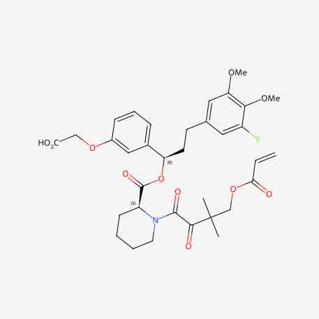 C=CC(=O)OCC(C)(C)C(=O)C(=O)N1CCCC[C@H]1C(=O)O[C@H](CCc1cc(F)c(OC)c(OC)c1)c1cccc(OCC(=O)O)c1